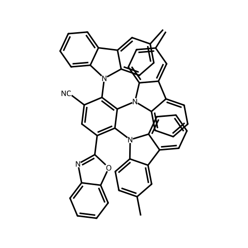 Cc1ccc2c(c1)c1ccccc1n2-c1c(C#N)cc(-c2nc3ccccc3o2)c(-n2c3ccccc3c3cc(C)ccc32)c1-n1c2ccccc2c2cc(C)ccc21